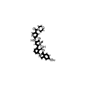 Cn1nc(-c2cccc(-n3ncc4cc(C(C)(C)C)ccc4c3=O)c2CO)cc(Nc2ccc(C(=O)N3CCOCC3)cn2)c1=O